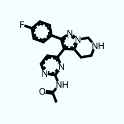 CC(=O)Nc1nccc(-c2c(-c3ccc(F)cc3)nn3c2CCNC3)n1